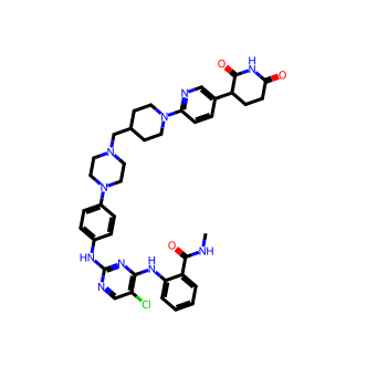 CNC(=O)c1ccccc1Nc1nc(Nc2ccc(N3CCN(CC4CCN(c5ccc(C6CCC(=O)NC6=O)cn5)CC4)CC3)cc2)ncc1Cl